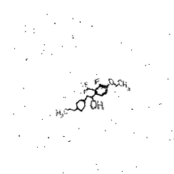 CCCC1CCC(CC(O)c2ccc(OCC)c(F)c2C(F)F)CC1